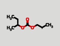 C[CH]COC(=O)OC(C)CC